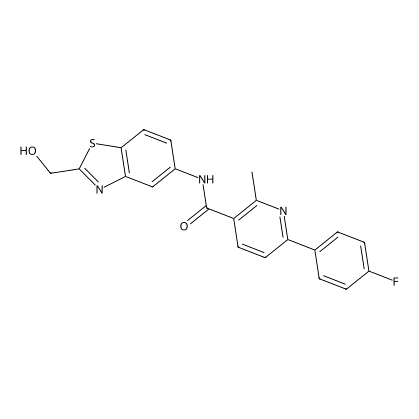 Cc1nc(-c2ccc(F)cc2)ccc1C(=O)Nc1ccc2sc(CO)nc2c1